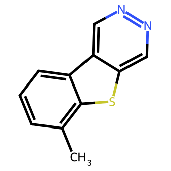 Cc1cccc2c1sc1cnncc12